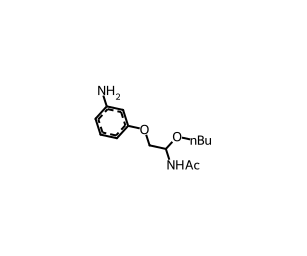 CCCCOC(COc1cccc(N)c1)NC(C)=O